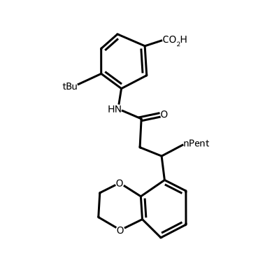 CCCCCC(CC(=O)Nc1cc(C(=O)O)ccc1C(C)(C)C)c1cccc2c1OCCO2